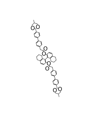 CC1COC(c2ccc(-c3ccc(CC(=O)Oc4ccc5c(c4-c4c(OC(=O)Cc6ccc(-c7ccc(C8OCC(C)CO8)cc7)cc6)ccc6c4CCCC6)CCCC5)cc3)cc2)OC1